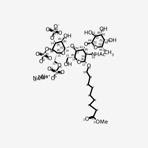 COC(=O)CCCCCCCCO[C@@H]1O[C@H](CO)[C@@H](O[C@@H]2O[C@H](COS(=O)(=O)[O-])[C@H](OS(=O)(=O)[O-])[C@H](OS(=O)(=O)[O-])[C@H]2O)[C@H](O[C@@H]2O[C@@H](C)[C@@H](O)[C@@H](O)[C@@H]2O)[C@H]1NC(C)=O.[Na+].[Na+].[Na+]